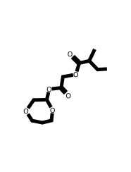 CCC(C)C(=O)OCC(=O)OC1COCCCO1